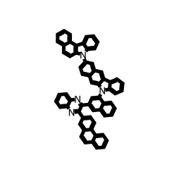 c1ccc2c(-n3c4ccccc4c4cc5cc(-n6c7ccccc7c7c8ccccc8ccc76)ccc5cc43)cc(-c3nc4ccccc4nc3-c3ccc4c(ccc5ccccc54)c3)cc2c1